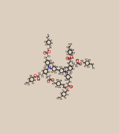 C=Cc1ccc(CCOC(=O)CCc2ccc(N(c3ccc(CCC(=O)Oc4ccc(C=C)cc4)c(CCC(=O)OCc4ccc(C=C)cc4)c3)c3ccc(-c4ccc(N(c5ccc(CCC(=O)OCc6ccc(C=C)cc6)cc5)c5ccc(CCC(=O)OCc6ccc(C=C)cc6)c(CCC(=O)Oc6ccc(C=C)cc6)c5)c(C)c4)cc3C)cc2)cc1